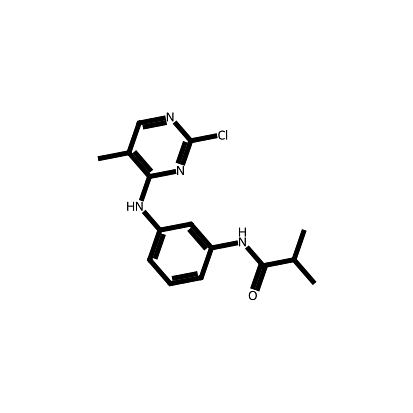 Cc1cnc(Cl)nc1Nc1cccc(NC(=O)C(C)C)c1